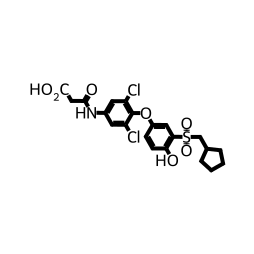 O=C(O)CC(=O)Nc1cc(Cl)c(Oc2ccc(O)c(S(=O)(=O)CC3CCCC3)c2)c(Cl)c1